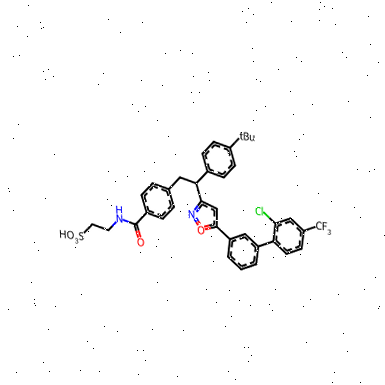 CC(C)(C)c1ccc(C(Cc2ccc(C(=O)NCCS(=O)(=O)O)cc2)c2cc(-c3cccc(-c4ccc(C(F)(F)F)cc4Cl)c3)on2)cc1